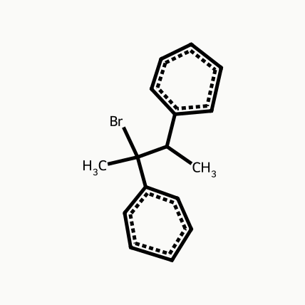 CC(c1ccccc1)C(C)(Br)c1ccccc1